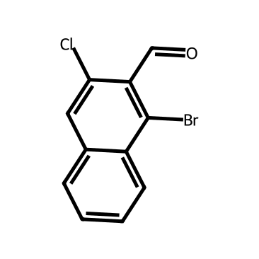 O=Cc1c(Cl)cc2ccccc2c1Br